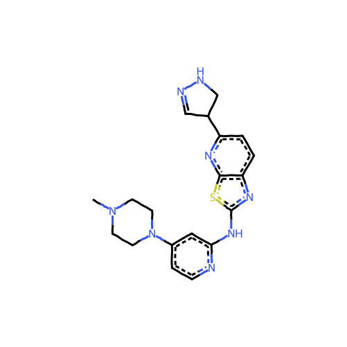 CN1CCN(c2ccnc(Nc3nc4ccc(C5C=NNC5)nc4s3)c2)CC1